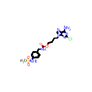 CS(=O)(=O)Nc1ccc(CNC(=O)OCCCCn2cnc3c(N)nc(Cl)nc32)cc1